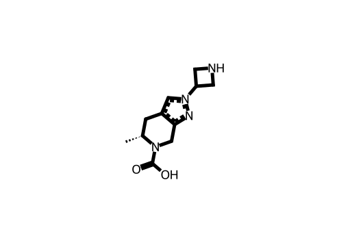 C[C@@H]1Cc2cn(C3CNC3)nc2CN1C(=O)O